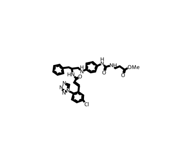 COC(=O)CCNC(=O)Nc1ccc(NCC(Cc2ccccc2)NC(=O)C=Cc2cc(Cl)ccc2-n2cnnn2)cc1